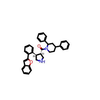 O=C([C@@H]1CNC[C@H]1c1ccccc1-c1cc2ccccc2o1)N1CCC(c2ccccc2)CC1c1ccccc1